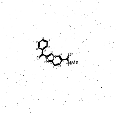 CNC(=O)c1ccc2nc(C(=O)c3ccccc3)cn2c1